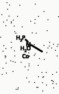 O.[CH3][Ni][PH2].[Co]